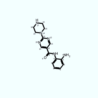 Nc1ccccc1NC(=O)c1cnc(N2CCNCC2)nc1